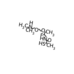 CC(C)NCCOCCOC(C)C(F)CNC(=O)C(C)S